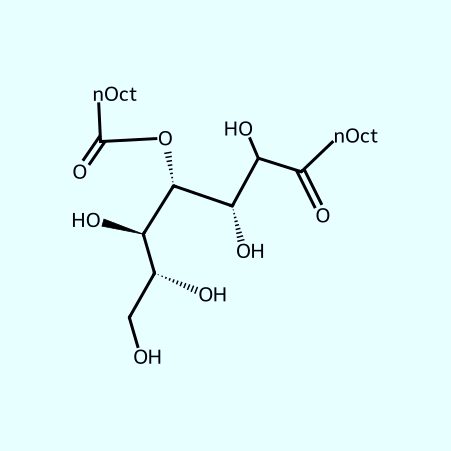 CCCCCCCCC(=O)O[C@@H]([C@H](O)[C@H](O)CO)[C@@H](O)C(O)C(=O)CCCCCCCC